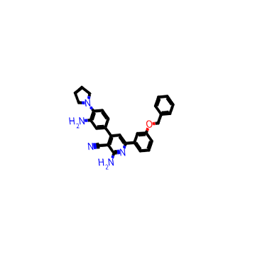 N#Cc1c(-c2ccc(N3CCCC3)c(N)c2)cc(-c2cccc(OCc3ccccc3)c2)nc1N